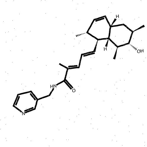 C/C(=C\C=C\[C@@H]1[C@H]2[C@H](C)[C@@H](O)[C@H](C)C[C@H]2C=C[C@H]1C)C(=O)NCc1cccnc1